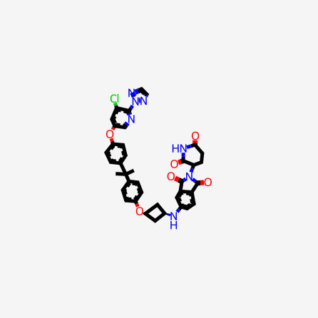 CC(C)(c1ccc(Oc2cnc(-n3nccn3)c(Cl)c2)cc1)c1ccc(O[C@H]2C[C@H](Nc3ccc4c(c3)C(=O)N(C3CCC(=O)NC3=O)C4=O)C2)cc1